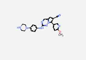 COc1ccc(-c2c(C#N)cc3cnc(Nc4ccc(N5CCNCC5)cc4)nn23)cn1